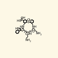 CN1C(=O)C(CCCCN)NC(=O)C(CCCN)NCc2cccnc2Sc2c(Cl)cc(B(O)O)cc2CNC(=O)C1Cc1c[nH]c2ccccc12